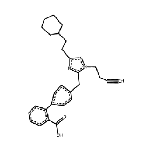 C#CCCn1nc(CCC2CCCCC2)nc1Cc1ccc(-c2ccccc2C(=O)O)cc1